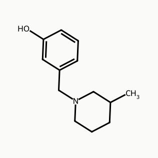 CC1CCCN(Cc2cccc(O)c2)C1